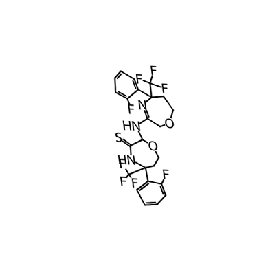 Fc1ccccc1C1(C(F)(F)F)CCOCC(NC2OCCC(c3ccccc3F)(C(F)(F)F)NC2=S)=N1